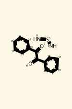 N=S=N.O=C(C(=O)c1ccccc1)c1ccccc1